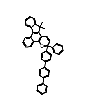 CC1(C)c2ccccc2-c2c1c1c(c3ccccc23)OC(c2ccccc2)(c2ccc(-c3ccc(-c4ccccc4)cc3)cc2)C=C1